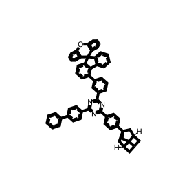 c1ccc(-c2ccc(-c3nc(-c4ccc(C56C[C@H]7CC8C[C@@H](C5)C87C6)cc4)nc(-c4cccc(-c5cccc6c5-c5ccccc5C65c6ccccc6Oc6ccccc65)c4)n3)cc2)cc1